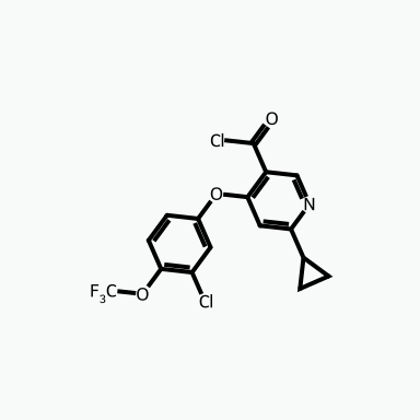 O=C(Cl)c1cnc(C2CC2)cc1Oc1ccc(OC(F)(F)F)c(Cl)c1